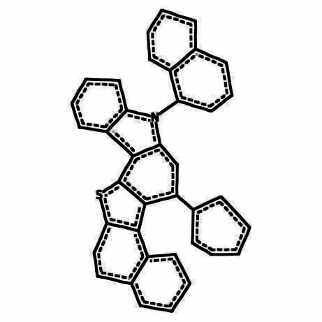 c1ccc(-c2cc3c(c4ccccc4n3-c3cccc4ccccc34)c3sc4ccc5ccccc5c4c23)cc1